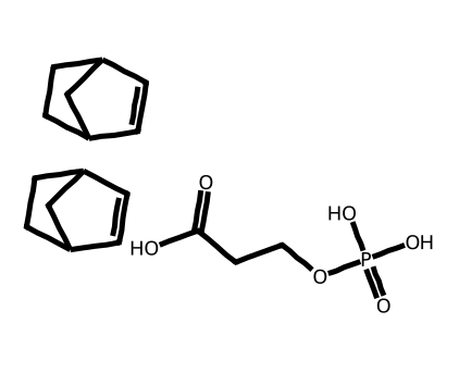 C1=CC2CCC1C2.C1=CC2CCC1C2.O=C(O)CCOP(=O)(O)O